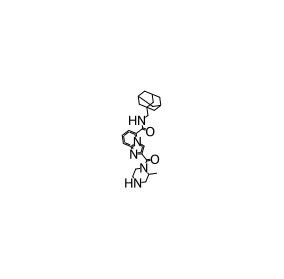 CC1CNCCN1C(=O)c1cn2c(C(=O)NCC34CC5CC(CC(C5)C3)C4)cccc2n1